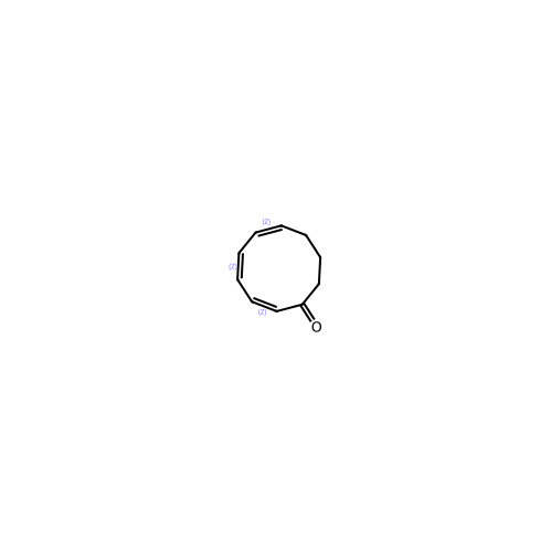 O=C1\C=C/C=C\C=C/CCC1